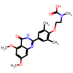 COc1cc(OC)c2c(=O)[nH]c(-c3cc(C)c(OCCN(C)C(=O)O)c(C)c3)nc2c1